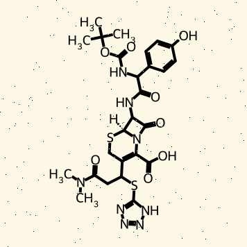 CN(C)C(=O)CC(Sc1nnn[nH]1)C1=C(C(=O)O)N2C(=O)C(NC(=O)C(NC(=O)OC(C)(C)C)c3ccc(O)cc3)[C@@H]2SC1